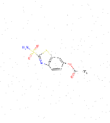 NS(=O)(=O)c1nc2ccc(OC(=O)C(F)(F)F)cc2s1